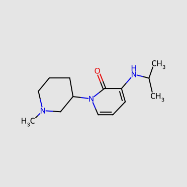 CC(C)Nc1cccn(C2CCCN(C)C2)c1=O